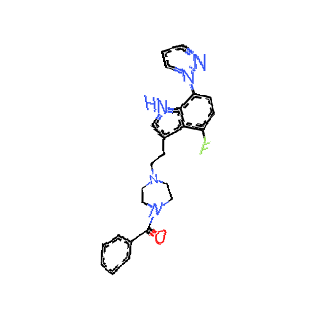 O=C(c1ccccc1)N1CCN(CCc2c[nH]c3c(-n4cccn4)ccc(F)c23)CC1